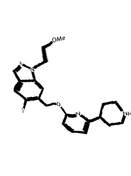 COCCn1ncc2cc(F)c(COc3cccc(C4CCNCC4)n3)cc21